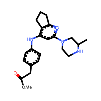 COC(=O)Cc1ccc(Nc2cc(N3CCNC(C)C3)nc3c2CCC3)cc1